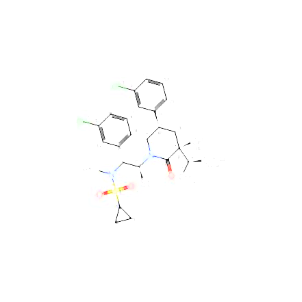 CC[C@@H](CN(C)S(=O)(=O)C1CC1)N1C(=O)[C@@](C)([C@H](C)C(=O)O)C[C@H](c2cccc(Cl)c2)[C@H]1c1ccc(Cl)cc1